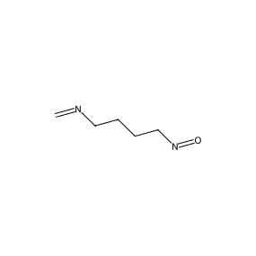 C=NCCCCN=O